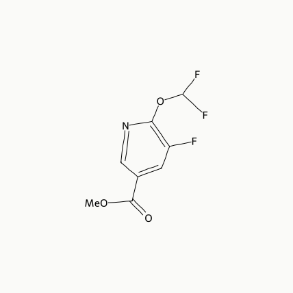 COC(=O)c1cnc(OC(F)F)c(F)c1